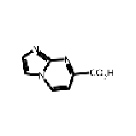 O=C(O)c1ccn2ccnc2n1